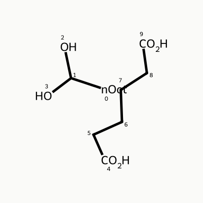 CCCCCCCCC(O)O.O=C(O)CCCCC(=O)O